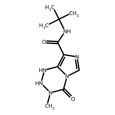 CN1NNc2c(C(=O)NC(C)(C)C)ncn2C1=O